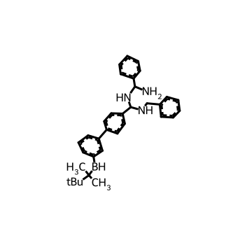 CC(C)(C)C(C)(C)Bc1cccc(-c2ccc(C(NCc3ccccc3)NC(N)c3ccccc3)cc2)c1